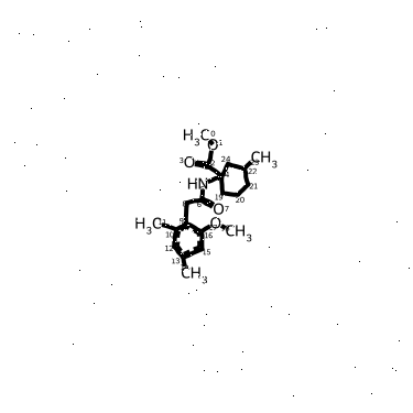 COC(=O)C1(NC(=O)Cc2c(C)cc(C)cc2OC)CCCC(C)C1